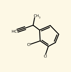 C#C[C](C)c1cccc(Cl)c1Cl